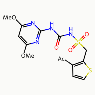 COc1cc(OC)nc(NC(=O)NS(=O)(=O)Cc2sccc2C(C)=O)n1